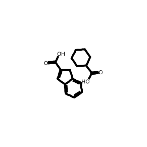 O=C(O)C1=Cc2ccccc2C1.O=C(O)C1CCCCC1